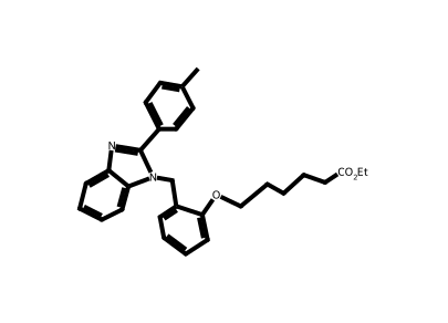 CCOC(=O)CCCCCOc1ccccc1Cn1c(-c2ccc(C)cc2)nc2ccccc21